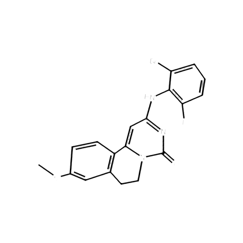 COc1ccc2c(c1)CCn1c-2cc(Nc2c(F)cccc2Br)nc1=O